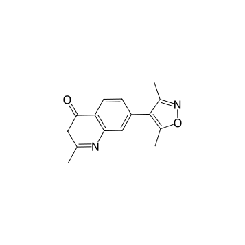 CC1=Nc2cc(-c3c(C)noc3C)ccc2C(=O)C1